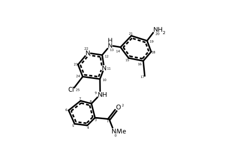 CNC(=O)c1ccccc1Nc1nc(Nc2cc(C)cc(N)c2)ncc1Cl